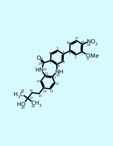 COc1cc(-c2ccc3c(c2)Nc2ccc(CCC(C)(C)O)cc2NC3=O)ccc1[N+](=O)[O-]